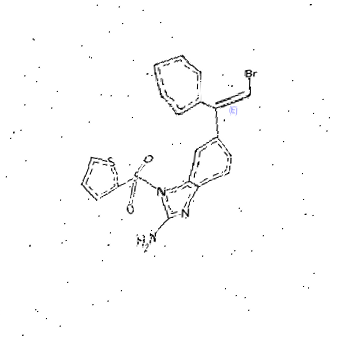 Nc1nc2ccc(/C(=C/Br)c3ccccc3)cc2n1S(=O)(=O)c1cccs1